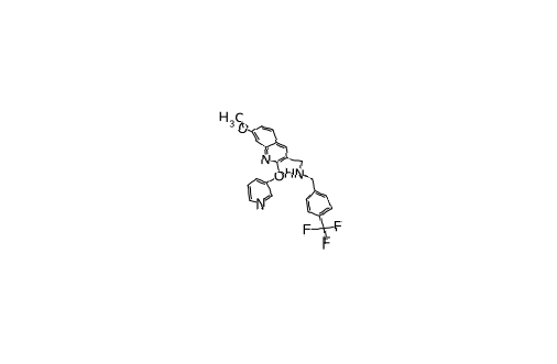 COc1ccc2cc(CNCc3ccc(C(F)(F)F)cc3)c(Oc3cccnc3)nc2c1